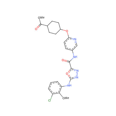 COC(=O)C1CCC(Oc2ccc(NC(=O)c3nnc(Nc4cccc(Cl)c4OC)o3)cn2)CC1